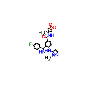 Cn1nccc1Nc1ccc(C(=O)NC2(C)CS(=O)(=O)C2)cc1C(=N)c1ccc(F)cc1